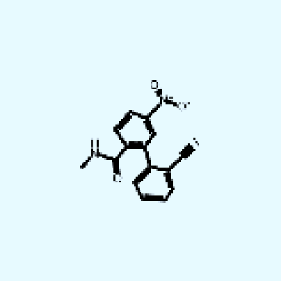 CNC(=O)c1ccc([N+](=O)[O-])cc1-c1ccccc1C#N